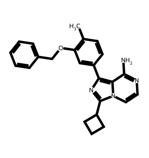 Cc1ccc(-c2nc(C3CCC3)n3ccnc(N)c23)cc1OCc1ccccc1